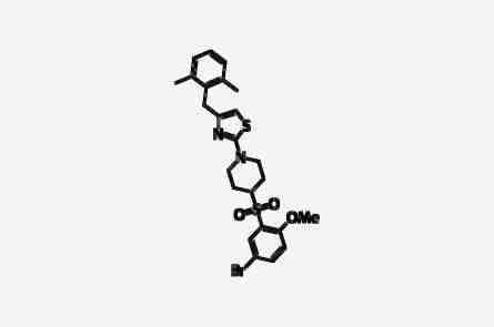 COc1ccc(Br)cc1S(=O)(=O)C1CCN(c2nc(Cc3c(C)cccc3C)cs2)CC1